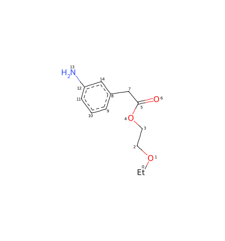 CCOCCOC(=O)Cc1cccc(N)c1